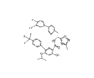 Cc1noc([C@@H](Cc2ccc(-c3ccc(F)c(Cl)c3)cc2)NC(=O)c2cc(-c3ccc(C(F)(F)F)cc3)c(OC(C)C)cc2O)n1